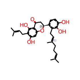 CC(C)=CCC/C(C)=C/Cc1c([C@@H]2CC(=O)c3c(cc(O)c(CC=C(C)C)c3O)O2)ccc(O)c1O